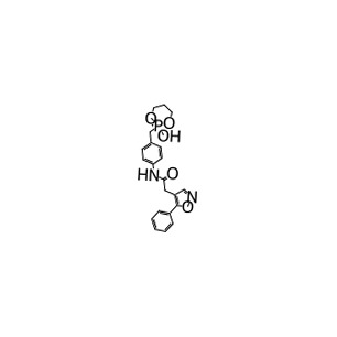 O=C(Cc1cnoc1-c1ccccc1)Nc1ccc(C[P]2(O)OCCCO2)cc1